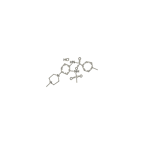 Cc1ccc(S(=O)(=O)Nc2ccc(N3CCN(C)CC3)cc2NS(C)(=O)=O)cc1.Cl